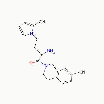 N#Cc1ccc2c(c1)CN(C(=O)C(N)CCn1cccc1C#N)CC2